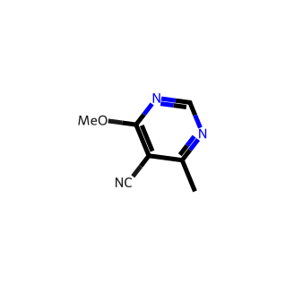 COc1ncnc(C)c1C#N